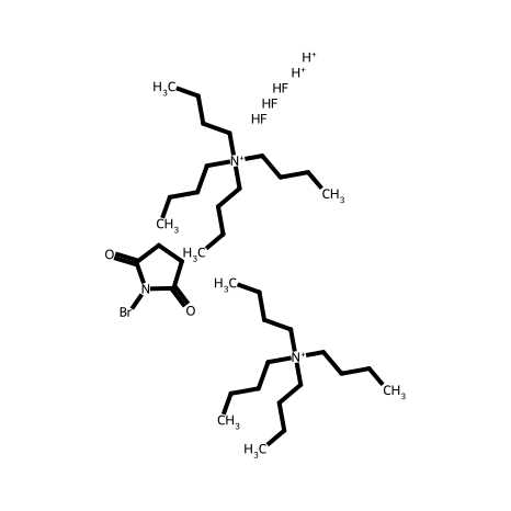 CCCC[N+](CCCC)(CCCC)CCCC.CCCC[N+](CCCC)(CCCC)CCCC.F.F.F.O=C1CCC(=O)N1Br.[H+].[H+]